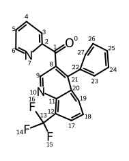 O=C(c1ccccn1)c1cnc2c(C(F)(F)F)cccc2c1-c1ccccc1